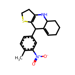 Cc1ccc(C2C3=CCCCC3NC3=C2SCC3)cc1[N+](=O)[O-]